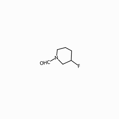 O=CN1CCCC(F)C1